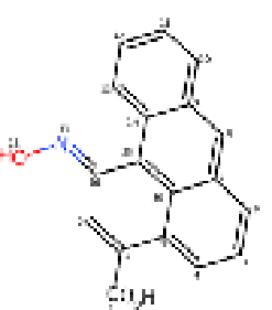 C=C(C(=O)O)c1cccc2cc3ccccc3c(C=NO)c12